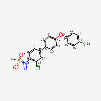 CS(=O)(=O)Nc1ccc(-c2ccc(Oc3ccc(F)cc3)cc2)cc1Cl